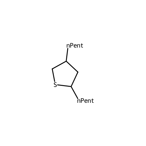 CCCCCC1CSC(CCCCC)C1